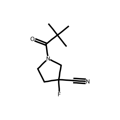 CC(C)(C)C(=O)N1CCC(F)(C#N)C1